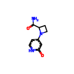 NC(=O)C1CCN1c1cc[nH]c(=O)c1